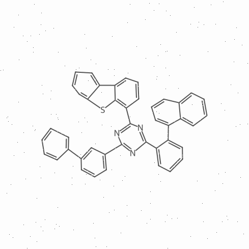 c1ccc(-c2cccc(-c3nc(-c4ccccc4-c4cccc5ccccc45)nc(-c4cccc5c4sc4ccccc45)n3)c2)cc1